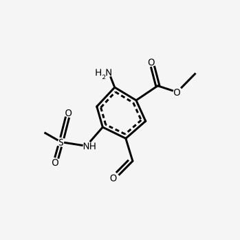 COC(=O)c1cc(C=O)c(NS(C)(=O)=O)cc1N